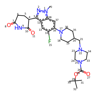 Cn1nc(C2CCC(=O)NC2=O)c2cc(F)c(N3CCC(CN4CCN(C(=O)OC(C)(C)C)CC4)CC3)cc21